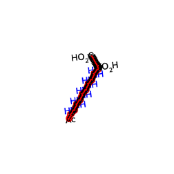 CC(=O)COCCOCCCC(=O)COCCOCCNC(=O)COCCOCCNC(=O)COCCOCCNC(=O)COCCOCCNC(=O)COCCOCCNC(=O)COCCOCCNC(=O)COCCOCCNC(=O)COCCOCCNC(=O)COCCOCCNC(=O)CC[C@H](CC(=O)CCCCCCCCCCCCCCCCCCC(=O)O)C(=O)O